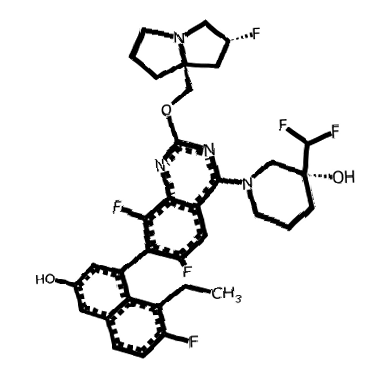 CCc1c(F)ccc2cc(O)cc(-c3c(F)cc4c(N5CCC[C@](O)(C(F)F)C5)nc(OC[C@@]56CCCN5C[C@H](F)C6)nc4c3F)c12